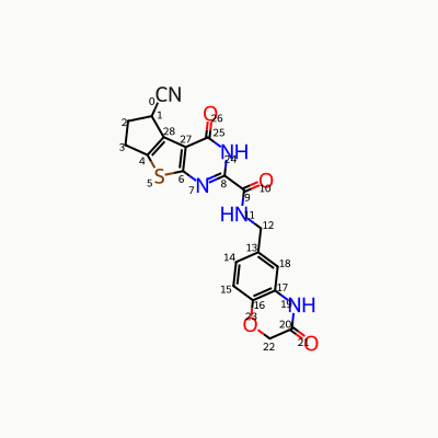 N#CC1CCc2sc3nc(C(=O)NCc4ccc5c(c4)NC(=O)CO5)[nH]c(=O)c3c21